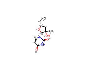 CC1(O)C[C@@H](CN=O)O[C@H]1n1ccc(=O)[nH]c1=O